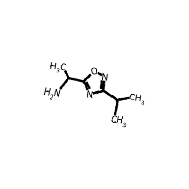 CC(C)c1noc(C(C)N)n1